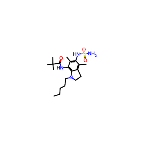 CCCCCN1CCc2c(C)c(NS(N)(=O)=O)c(C)c(NC(=O)C(C)(C)C)c21